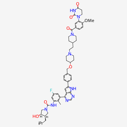 COc1ccc(C(=O)N2CCC(CCN3CCC(OCc4ccc(-c5cc6c(-c7cc(F)cc(NC(=O)N8C[C@@H](CC(C)C)[C@@H](O)C8)c7C)ncnc6[nH]5)cc4)CC3)CC2)cc1N1CCC(=O)NC1=O